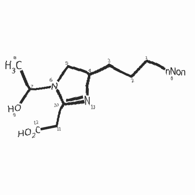 CCCCCCCCCCCCC1CN(C(C)O)C(CC(=O)O)=N1